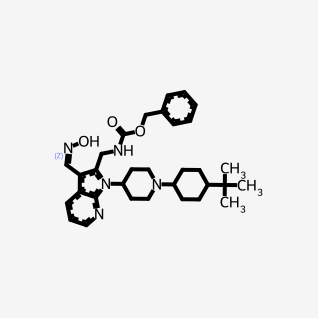 CC(C)(C)C1CCC(N2CCC(n3c(CNC(=O)OCc4ccccc4)c(/C=N\O)c4cccnc43)CC2)CC1